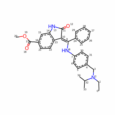 CCN(Cc1ccc(NC(=C2C(=O)Nc3cc(C(=O)OC)ccc32)c2ccccc2)cc1)C(C)C